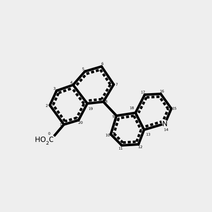 O=C(O)c1ccc2cccc(-c3cccc4ncccc34)c2c1